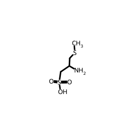 CSCC(N)CS(=O)(=O)O